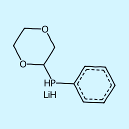 [LiH].c1ccc(PC2COCCO2)cc1